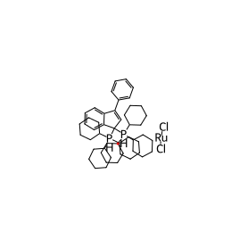 C1=C(c2ccccc2)c2ccccc2C1([PH](C1CCCCC1)(C1CCCCC1)C1CCCCC1)[PH](C1CCCCC1)(C1CCCCC1)C1CCCCC1.[Cl][Ru][Cl]